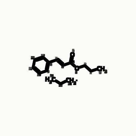 CCCOC(=O)/C=C/c1ccccc1.[CH2]CC